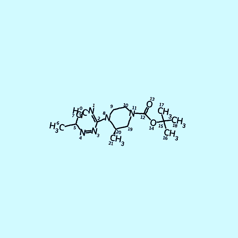 C/N=C(\N=N/C(C)Cl)N1CCN(C(=O)OC(C)(C)C)C[C@H]1C